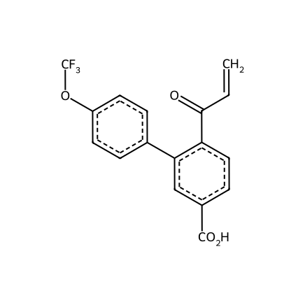 C=CC(=O)c1ccc(C(=O)O)cc1-c1ccc(OC(F)(F)F)cc1